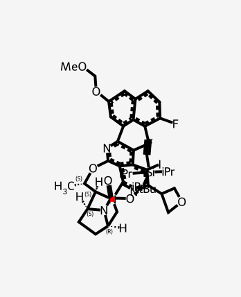 COCOc1cc(-c2nc3c4c(nc(C5COC5)c(I)c4c2F)N2C[C@H]4CC[C@@H]([C@H]2[C@H](C)O3)N4C(=O)OC(C)(C)C)c2c(C#C[Si](C(C)C)(C(C)C)C(C)C)c(F)ccc2c1